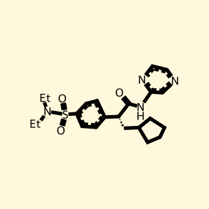 CCN(CC)S(=O)(=O)c1ccc([C@@H](CC2CCCC2)C(=O)Nc2cnccn2)cc1